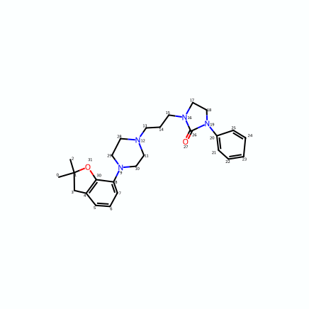 CC1(C)Cc2cccc(N3CCN(CCCN4CCN(c5ccccc5)C4=O)CC3)c2O1